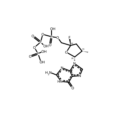 C[C@H]1C[C@@](F)(COP(=O)(O)OP(=O)(O)OP(=O)(O)O)O[C@H]1n1cnc2c(=O)[nH]c(N)nc21